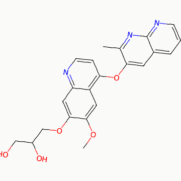 COc1cc2c(Oc3cc4cccnc4nc3C)ccnc2cc1OCC(O)CO